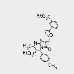 CCOC(=O)C1=C(C)N=c2s/c(=C\c3ccc(-c4cccc(C(=O)OCC)c4)o3)c(=O)n2C1c1ccc(C)cc1